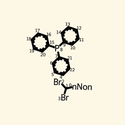 CCCCCCCCCC(Br)Br.c1ccc(P(c2ccccc2)c2ccccc2)cc1